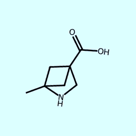 CC12CC(C(=O)O)(CN1)C2